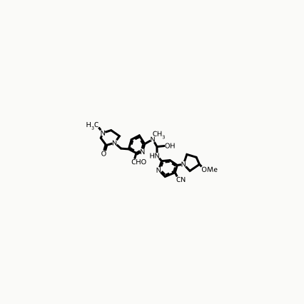 COC1CCN(c2cc(NC(O)N(C)c3ccc(CN4CCN(C)CC4=O)c(C=O)n3)ncc2C#N)C1